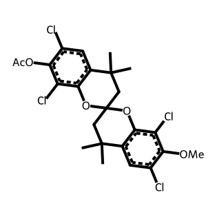 COc1c(Cl)cc2c(c1Cl)OC1(CC2(C)C)CC(C)(C)c2cc(Cl)c(OC(C)=O)c(Cl)c2O1